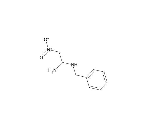 NC(C[N+](=O)[O-])NCc1ccccc1